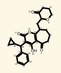 O=C1CCCC(CC2OCCCC2=O)c2oc(=O)c(C(c3ccccc3)C3CC3)c(O)c21